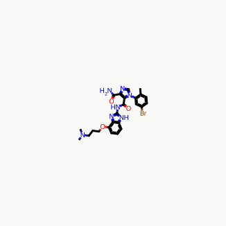 Cc1ccc(Br)cc1-n1cnc(C(N)=O)c1C(=O)Nc1nc2c(OCCCN(C)C)cccc2[nH]1